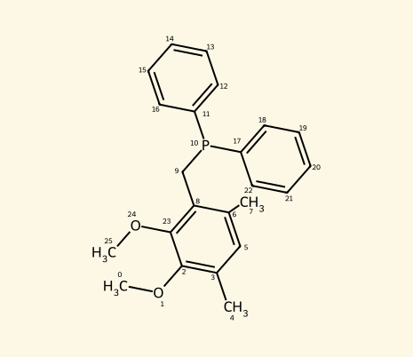 COc1c(C)cc(C)c(CP(c2ccccc2)c2ccccc2)c1OC